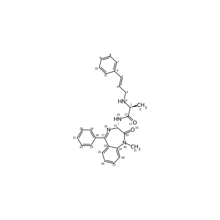 C[C@H](NC/C=C/c1ccccc1)C(=O)N[C@H]1N=C(c2ccccc2)c2ccccc2N(C)C1=O